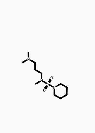 CN(C)CCCN(C)S(=O)(=O)N1CC[CH]CC1